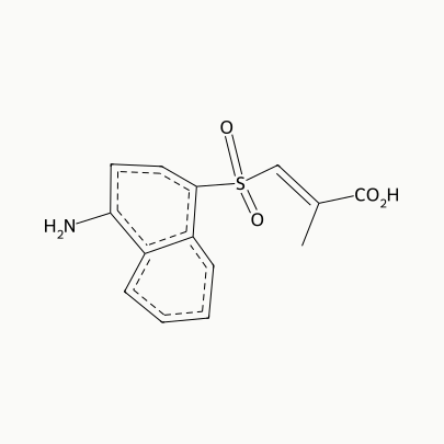 CC(=CS(=O)(=O)c1ccc(N)c2ccccc12)C(=O)O